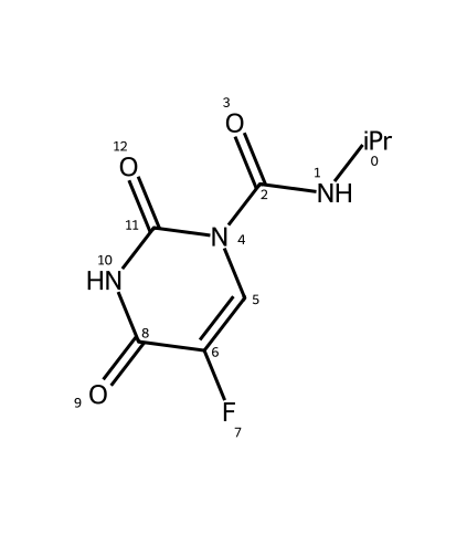 CC(C)NC(=O)n1cc(F)c(=O)[nH]c1=O